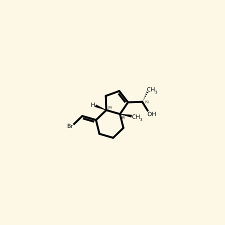 C[C@H](O)C1=CC[C@H]2C(=CBr)CCC[C@@]12C